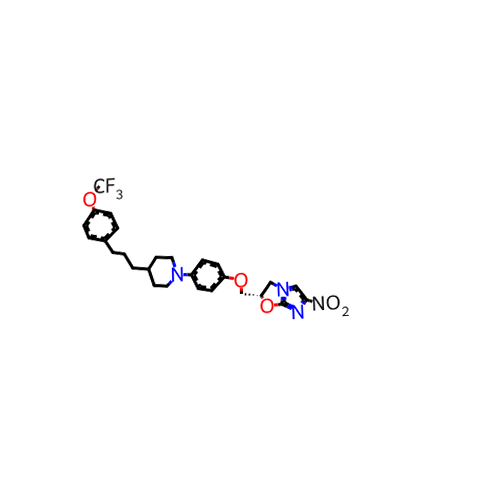 O=[N+]([O-])c1cn2c(n1)O[C@H](COc1ccc(N3CCC(CCCc4ccc(OC(F)(F)F)cc4)CC3)cc1)C2